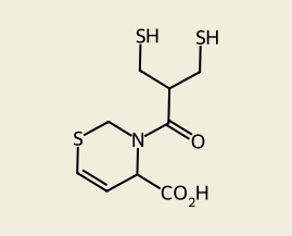 O=C(O)C1C=CSCN1C(=O)C(CS)CS